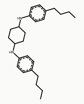 CCCCc1ccc(NC2CCC(Nc3ccc(CCCC)cc3)CC2)cc1